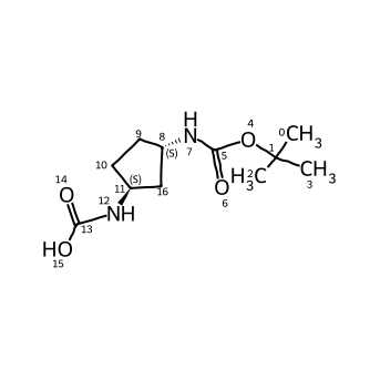 CC(C)(C)OC(=O)N[C@H]1CC[C@H](NC(=O)O)C1